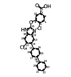 O=C(O)c1ccc(Cl)c(Oc2nc3cc(-c4ccc(-c5ccccc5)cc4)c(Cl)cc3[nH]2)c1